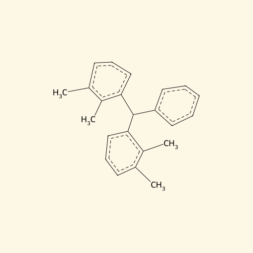 Cc1cccc(C(c2ccccc2)c2cccc(C)c2C)c1C